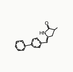 CC1C/C(=C/c2ccc(-c3ccccc3)cc2)NC1=O